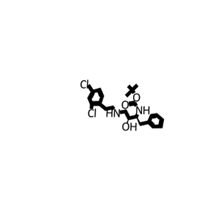 CC(C)(C)OC(=O)N[C@@H](Cc1ccccc1)[C@H](O)CNCCc1ccc(Cl)cc1Cl